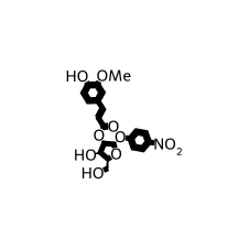 COc1cc(/C=C/C(=O)O[C@H]2[C@H](Oc3ccc([N+](=O)[O-])cc3)O[C@@H](CO)[C@@H]2O)ccc1O